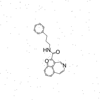 O=C(NCCCc1ccccc1)c1oc2cccc3c2c1C=NC=C3